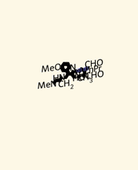 C=C(CNC)NCc1c2c(nc3ccc(OC)cc13)/C(=C/C(=C(\C=O)CCC)C(O)C=O)N(C)C2